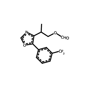 CC(COC=O)c1ncoc1-c1cccc(C(F)(F)F)c1